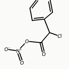 O=C(O[N+](=O)[O-])C(Cl)c1ccccc1